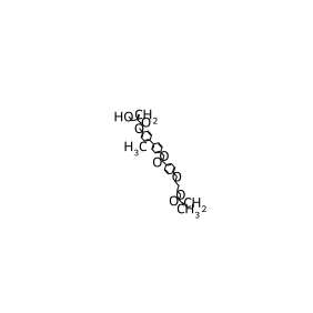 C=C(C)C(=O)OCCCOc1ccc(C(=O)Oc2ccc(-c3ccc(OC(=O)C(=C)CO)cc3C)cc2)cc1